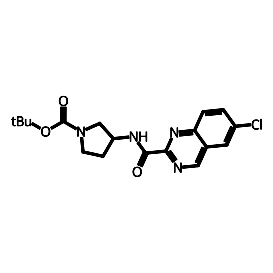 CC(C)(C)OC(=O)N1CCC(NC(=O)c2ncc3cc(Cl)ccc3n2)C1